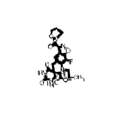 C[C@@H]1CN2c3c(cc4c(C(=O)N5CCCCO5)noc4c3F)CC3(C(=O)NC(=O)NC3=O)[C@H]2[C@H](C)O1